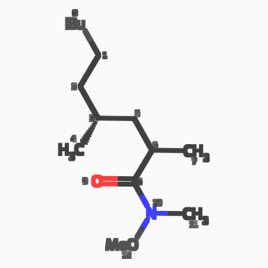 CCC(C)CC[C@@H](C)CC(C)C(=O)N(C)OC